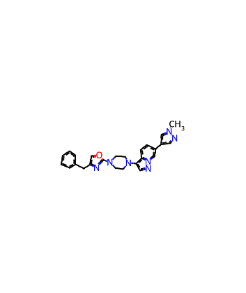 Cn1cc(-c2ccc3c(N4CCN(c5nc(Cc6ccccc6)co5)CC4)cnn3c2)cn1